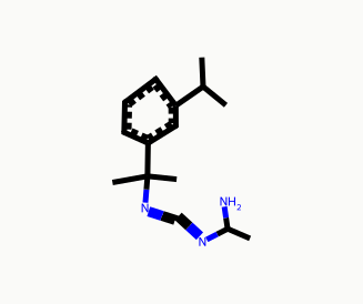 CC(N)N=C=NC(C)(C)c1cccc(C(C)C)c1